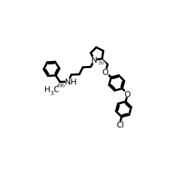 C[C@@H](NCCCCN1CCC[C@H]1COc1ccc(Oc2ccc(Cl)cc2)cc1)c1ccccc1